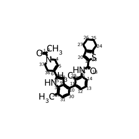 CC(=O)N1CC=C(c2cc3c(-c4cccc(NC(=O)c5cc6c(s5)CCCC6)c4C)ccc(C)c3[nH]2)CC1